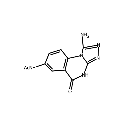 CC(=O)Nc1ccc2c(c1)c(=O)[nH]c1nnc(N)n12